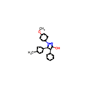 COc1ccc(-n2nc(O)c(-c3ccccc3)c2-c2ccc(C)cc2)cc1